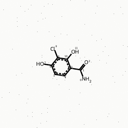 NC(=O)c1ccc(O)c(Cl)c1O